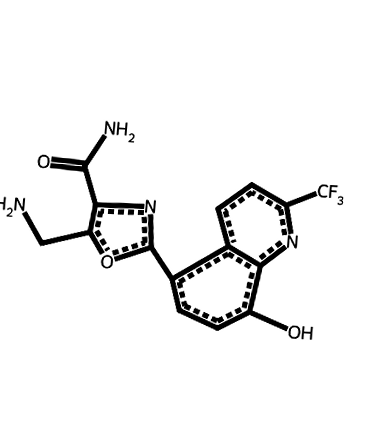 NCc1oc(-c2ccc(O)c3nc(C(F)(F)F)ccc23)nc1C(N)=O